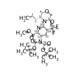 C=CC[C@@H]1COCC(=O)N1c1nc(C(=O)OC)c(N(C(=O)OC(C)(C)C)C(=O)OC(C)(C)C)cc1C(F)(F)F